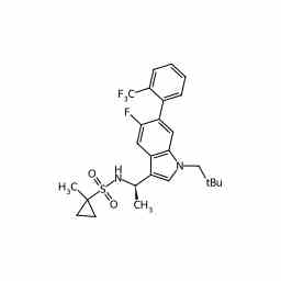 C[C@@H](NS(=O)(=O)C1(C)CC1)c1cn(CC(C)(C)C)c2cc(-c3ccccc3C(F)(F)F)c(F)cc12